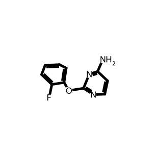 Nc1ccnc(Oc2ccccc2F)n1